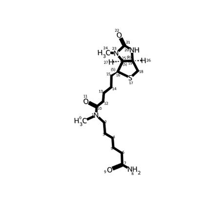 CN(CCCCCC(N)=O)C(=O)CCCC[C@@H]1SC[C@@H]2NC(=O)N(C)[C@@H]21